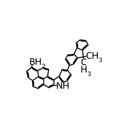 Bc1ccc2ccc3cc4[nH]c5ccc(-c6ccc7c(c6)C(C)(C)c6ccccc6-7)cc5c4c4ccc1c2c34